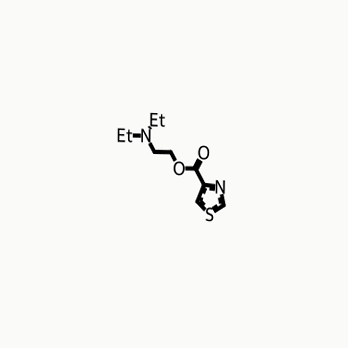 CCN(CC)CCOC(=O)c1cscn1